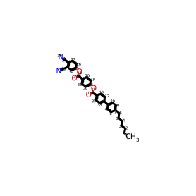 CCCCCCCc1ccc(-c2ccc(C(=O)Oc3ccc(C(=O)Oc4ccc(C#N)c(C#N)c4)cc3)cc2)cc1